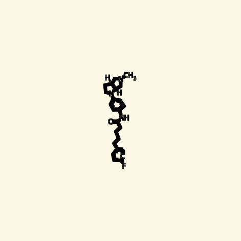 CN1C[C@@H]2CCN(c3ccc(NC(=O)CCCCc4ccc(F)cc4)cc3)[C@@H]2C1